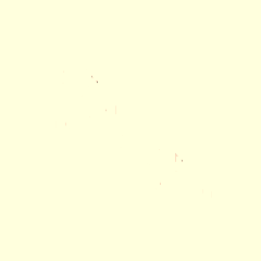 CC(C)(C)c1nc2ccc(CC(C)(C)c3cscn3)cc2o1